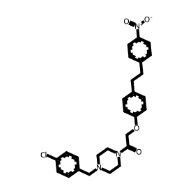 O=C(COc1ccc(CCc2ccc([N+](=O)[O-])cc2)cc1)N1CCN(Cc2ccc(Cl)cc2)CC1